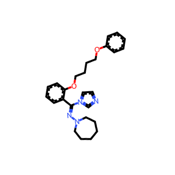 c1ccc(OCCCCOc2ccccc2C(=NN2CCCCCC2)n2ccnc2)cc1